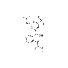 C=C(C(=O)OC)c1ccccc1C(O)c1cc(C(F)(F)F)nc(OC(C)C)n1